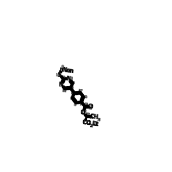 CCCCCCCCCSc1ncc(-c2ccc(C(=O)O[C@@H](C)C(=O)OCC)cc2)cn1